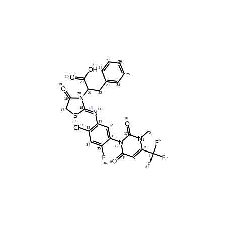 Cn1c(C(F)(F)F)cc(=O)n(-c2cc(/N=C3\SCC(=O)N3C(Cc3ccccc3)C(=O)O)c(Cl)cc2F)c1=O